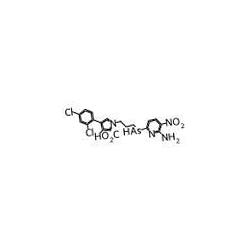 Nc1nc([AsH]CCCn2cc(C(=O)O)c(-c3ccc(Cl)cc3Cl)c2)ccc1[N+](=O)[O-]